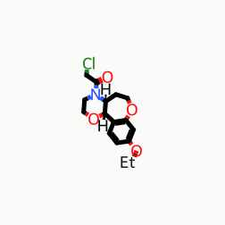 CCOc1ccc2c(c1)OCC[C@H]1[C@H]2OCCN1C(=O)CCl